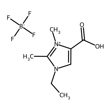 CCn1cc(C(=O)O)[n+](C)c1C.F[B-](F)(F)F